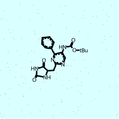 CC(C)(C)OC(=O)Nc1cnc(CC2NC(=O)NC2=O)nc1-c1ccccc1